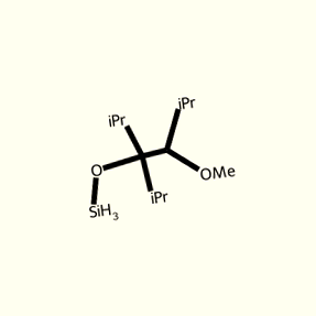 COC(C(C)C)C(O[SiH3])(C(C)C)C(C)C